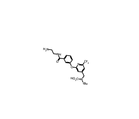 CC(C)(C)N(Cc1cc(Oc2cccc(C(=O)NCCN)c2)nc(C(F)(F)F)c1)C(=O)O